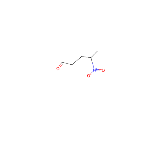 CC(CCC=O)[N+](=O)[O-]